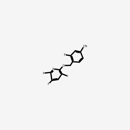 N#Cc1ccc(COc2nc(F)c(F)cc2F)c(F)c1